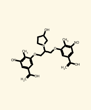 C=C(O)c1cc(N=O)c(C)c(OCC(COc2cc(C(=C)O)cc(N=O)c2C)N2CCC(O)C2)c1